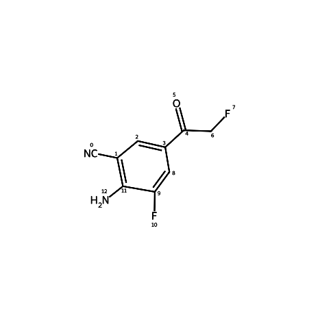 N#Cc1cc(C(=O)CF)cc(F)c1N